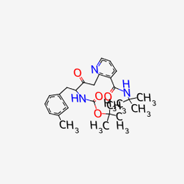 Cc1cccc(CC(NC(=O)OC(C)(C)C)C(=O)Cc2ncccc2C(=O)NC(C)(C)C)c1